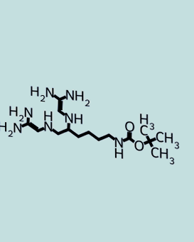 CC(C)(C)OC(=O)NCCCCC(CNC=C(N)N)NC=C(N)N